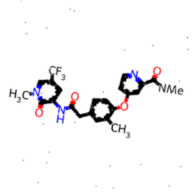 CNC(=O)c1cc(Oc2ccc(CC(=O)Nc3cc(C(F)(F)F)cn(C)c3=O)cc2C)ccn1